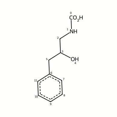 O=C(O)NCC(O)Cc1ccccc1